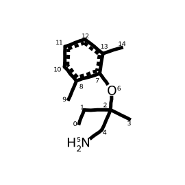 CCC(C)(CN)Oc1c(C)cccc1C